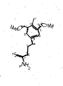 COc1cc(CCCC(N)=S)cc(OC)c1C